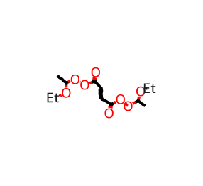 CCOC(C)OOC(=O)/C=C/C(=O)OOC(C)OCC